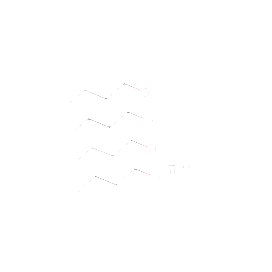 CCCC[O-].CCCC[O-].CCCC[O-].CCCC[O-].[Th+4]